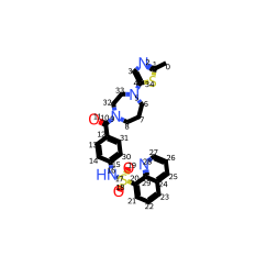 Cc1ncc(N2CCCN(C(=O)c3ccc(NS(=O)(=O)c4cccc5cccnc45)cc3)CC2)s1